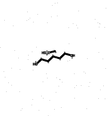 CC(=O)O.OCCCCCO